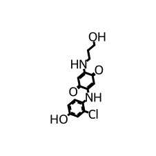 O=C1C=C(Nc2ccc(O)cc2Cl)C(=O)C=C1NCCCO